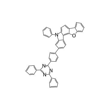 c1ccc(-c2nc(-c3ccccc3)nc(-c3ccc(-c4ccc5c6c7oc8ccccc8c7ccc6n(-c6ccccc6)c5c4)cc3)n2)cc1